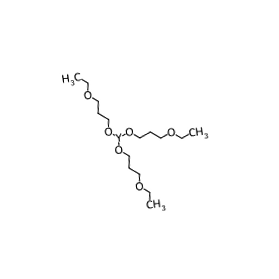 CCOCCC[O][Y]([O]CCCOCC)[O]CCCOCC